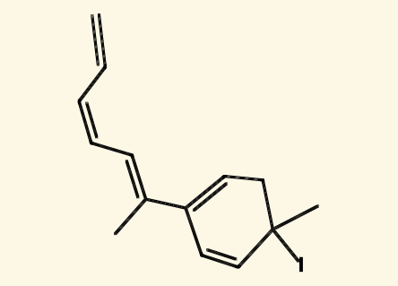 C=C/C=C\C=C(/C)C1=CCC(C)(I)C=C1